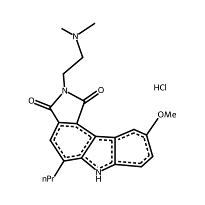 CCCc1cc2c(c3c1[nH]c1ccc(OC)cc13)C(=O)N(CCN(C)C)C2=O.Cl